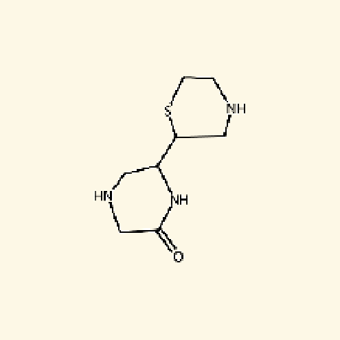 O=C1CNCC(C2CNCCS2)N1